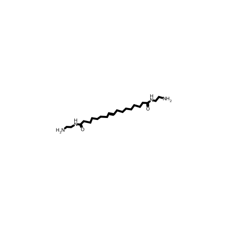 NCCNC(=O)CCCCCC/C=C/CCCCCCCC(=O)NCCN